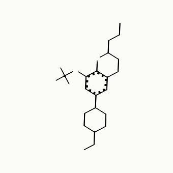 CCCC1CCc2cc(C3CCC(CC)CC3)cc(OC(F)(F)F)c2O1